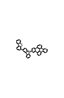 c1ccc2c(c1)sc1c(-c3ccc4c(c3)c3ccccc3n4-c3ccc4c(c3)c3cccc5c6ccccc6c6cccc4c6c53)cccc12